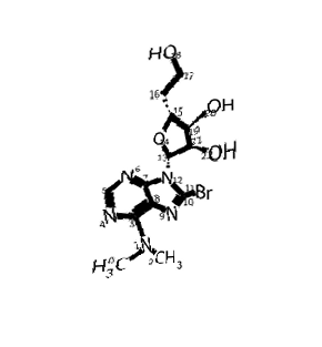 CN(C)c1ncnc2c1nc(Br)n2[C@@H]1O[C@H](CCO)[C@@H](O)[C@H]1O